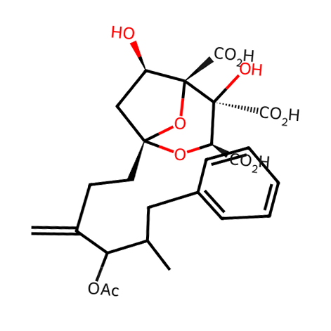 C=C(CC[C@@]12C[C@@H](O)[C@@](C(=O)O)(O1)[C@](O)(C(=O)O)[C@@H](C(=O)O)O2)C(OC(C)=O)C(C)Cc1ccccc1